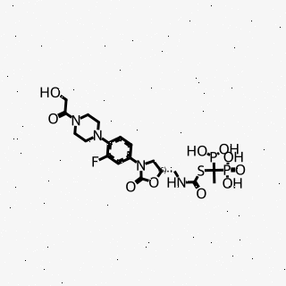 CC(SC(=O)NC[C@H]1CN(c2ccc(N3CCN(C(=O)CO)CC3)c(F)c2)C(=O)O1)(P(O)O)P(=O)(O)O